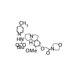 COc1cc2c(cc1OCC(=O)N1CCOCC1)CCN1C[C@@H](c3cc(C)ccn3)[C@@H](NC(=O)OC(C)(C)C)C[C@H]21